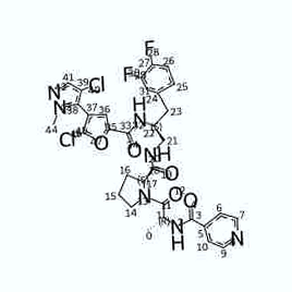 C[C@@H](NC(=O)c1ccncc1)C(=O)N1CCC[C@H]1C(=O)NC[C@H](Cc1ccc(F)c(F)c1)NC(=O)c1cc(-c2c(Cl)cnn2C)c(Cl)o1